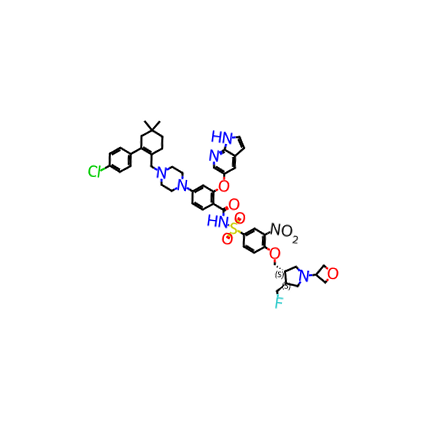 CC1(C)CCC(CN2CCN(c3ccc(C(=O)NS(=O)(=O)c4ccc(OC[C@@H]5CN(C6COC6)C[C@H]5CF)c([N+](=O)[O-])c4)c(Oc4cnc5[nH]ccc5c4)c3)CC2)=C(c2ccc(Cl)cc2)C1